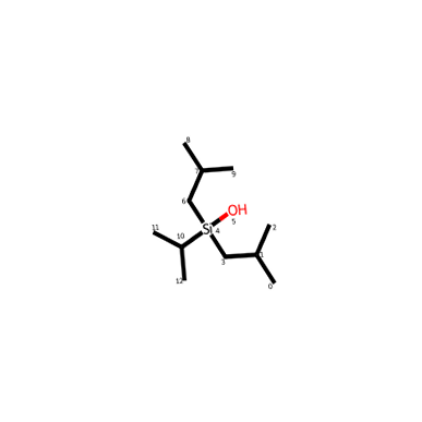 CC(C)C[Si](O)(CC(C)C)C(C)C